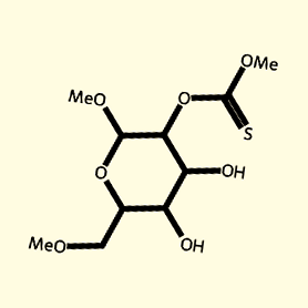 COCC1OC(OC)C(OC(=S)OC)C(O)C1O